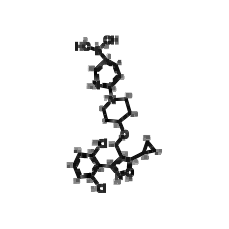 OB(O)c1ccc(N2CCC(OCc3c(-c4c(Cl)cccc4Cl)noc3C3CC3)CC2)nc1